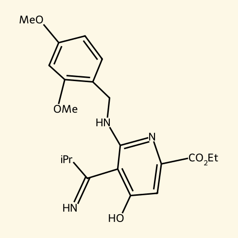 CCOC(=O)c1cc(O)c(C(=N)C(C)C)c(NCc2ccc(OC)cc2OC)n1